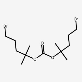 CC(C)(CCCBr)OC(=O)OC(C)(C)CCCBr